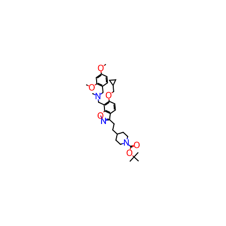 COc1ccc(CN(C)Cc2c(OCC3CC3)ccc3c(CCC4CCN(C(=O)OC(C)(C)C)CC4)noc23)c(OC)c1